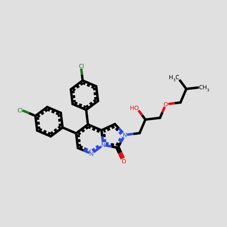 CC(C)COCC(O)Cn1cc2c(-c3ccc(Cl)cc3)c(-c3ccc(Cl)cc3)cnn2c1=O